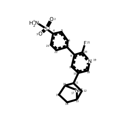 NS(=O)(=O)c1ccc(-c2cc(C3CC4CCC3N4)cnc2F)cc1